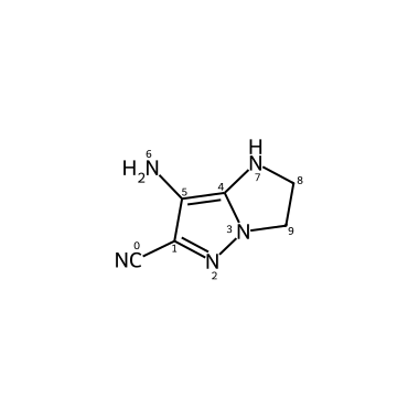 N#Cc1nn2c(c1N)NCC2